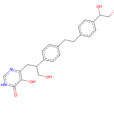 O=c1[nH]cnc(CC(CO)c2ccc(CCc3ccc(C(O)CO)cc3)cc2)c1O